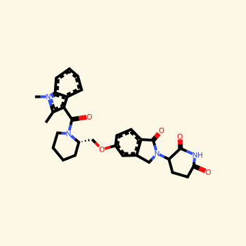 Cc1c(C(=O)N2CCCC[C@H]2COc2ccc3c(c2)CN(C2CCC(=O)NC2=O)C3=O)c2ccccc2n1C